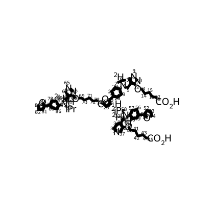 [2H]C(C)(C)N(Cc1cn(C)nc1OCCCCCC(=O)O)c1ccc(-c2ccco2)cc1.[2H]C([2H])(c1ccncc1OCCCCCC(=O)O)N(c1ccc(-c2ccco2)cc1)C(C)C.[2H]C([2H])(c1cn(C)nc1OCCCCCC(=O)O)N(c1ccc(-c2ccco2)cc1)C(C)C